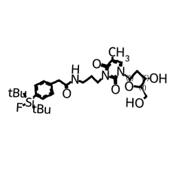 Cc1cn([C@H]2C[C@H](O)[C@@H](CO)O2)c(=O)n(CCCNC(=O)Cc2ccc([Si](F)(C(C)(C)C)C(C)(C)C)cc2)c1=O